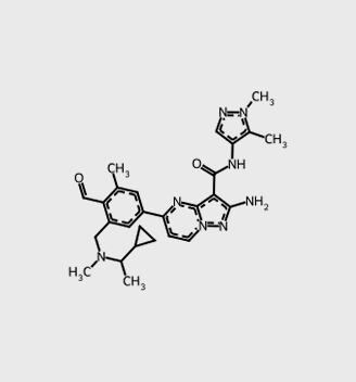 Cc1cc(-c2ccn3nc(N)c(C(=O)Nc4cnn(C)c4C)c3n2)cc(CN(C)C(C)C2CC2)c1C=O